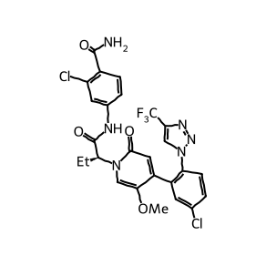 CC[C@@H](C(=O)Nc1ccc(C(N)=O)c(Cl)c1)n1cc(OC)c(-c2cc(Cl)ccc2-n2cc(C(F)(F)F)nn2)cc1=O